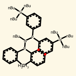 CCCCN(P(c1cccc([Si](CCCC)(CCCC)CCCC)c1)c1cccc([Si](CCCC)(CCCC)CCCC)c1)P(c1ccccc1C)c1ccccc1C